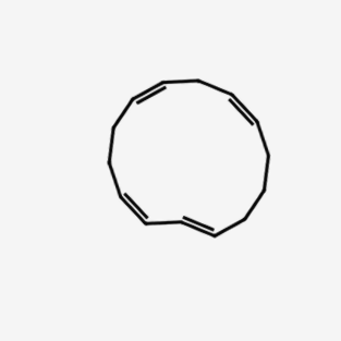 C1=C\CC/C=C\C/C=C\CCC/C=C/1